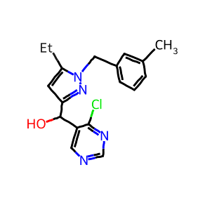 CCc1cc(C(O)c2cncnc2Cl)nn1Cc1cccc(C)c1